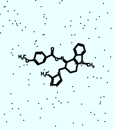 COc1ccc(C(=O)ON=C2c3c(n(C)c4ccccc34)CCC2Cn2ccnc2C)cc1